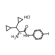 Cl.N[C@H](C(=O)Nc1ccc(I)cc1)C(C1CC1)C1CC1